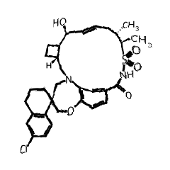 C[C@@H]1[C@@H](C)C/C=C/[C@H](O)C2CC[C@H]2CN2C[C@@]3(CCCc4cc(Cl)ccc43)COc3ccc(cc32)C(=O)NS1(=O)=O